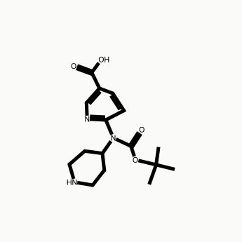 CC(C)(C)OC(=O)N(c1ccc(C(=O)O)cn1)C1CCNCC1